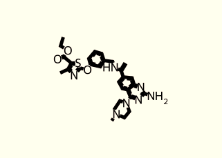 C=C(NCc1cccc(Oc2nc(C)c(C(=O)OCC)s2)c1)c1ccc2c(N3CCN(C)CC3)nc(N)nc2c1